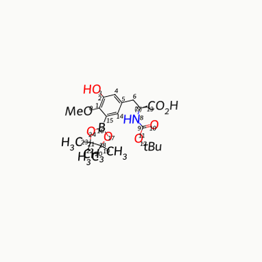 COc1c(O)cc(C[C@H](NC(=O)OC(C)(C)C)C(=O)O)cc1B1OC(C)(C)C(C)(C)O1